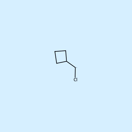 Cl[CH]C1CCC1